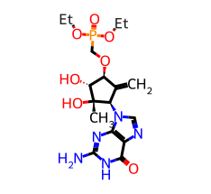 C=C1[C@H](OCP(=O)(OCC)OCC)[C@@H](O)[C@@](C)(O)[C@@H]1n1cnc2c(=O)[nH]c(N)nc21